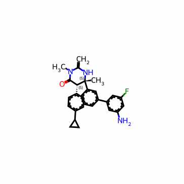 C=C1N[C@](C)(c2cccc(-c3cc(N)cc(F)c3)c2)[C@H](c2ccc(C3CC3)cc2)C(=O)N1C